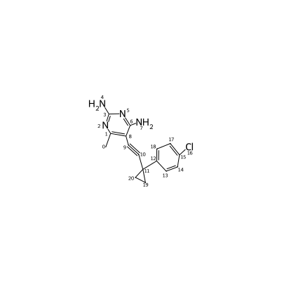 Cc1nc(N)nc(N)c1C#CC1(c2ccc(Cl)cc2)CC1